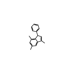 CC1=CC(c2ccccc2)c2c(C)cc(C)cc21